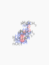 CCCCCCCCC(NC(=O)[C@@H]1CCCN1C(=O)c1ccc2cccnc2c1)C(=O)NC(CC(C)C)C(=O)NC(C)(C)C(=O)NC(CC(C)C)C(=O)NC(CC(C)C)C(=O)NC(C)(C)C(=O)NC(C)(C)C(=O)NCCC(=O)NC(C)CN(C)C